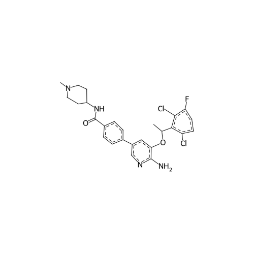 CC(Oc1cc(-c2ccc(C(=O)NC3CCN(C)CC3)cc2)cnc1N)c1c(Cl)ccc(F)c1Cl